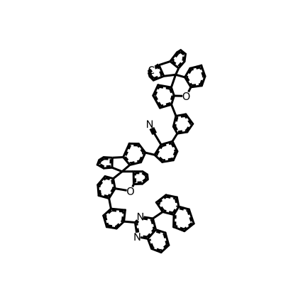 N#Cc1c(-c2cccc(-c3cccc4c3Oc3ccccc3C43c4ccccc4-c4ccccc43)c2)cccc1-c1ccc2c(c1)C1(c3ccccc3Oc3c(-c4cccc(-c5nc(-c6cccc7ccccc67)c6ccccc6n5)c4)cccc31)c1ccccc1-2